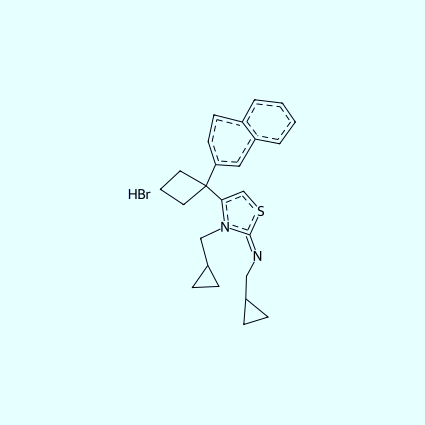 Br.c1ccc2cc(C3(c4csc(=NCC5CC5)n4CC4CC4)CCC3)ccc2c1